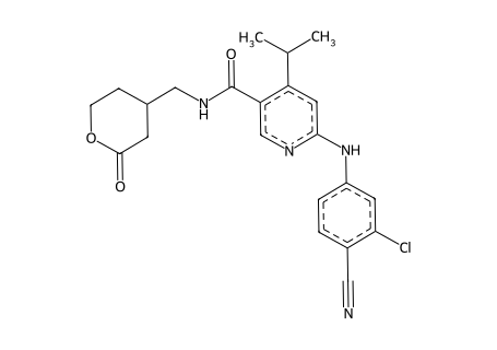 CC(C)c1cc(Nc2ccc(C#N)c(Cl)c2)ncc1C(=O)NCC1CCOC(=O)C1